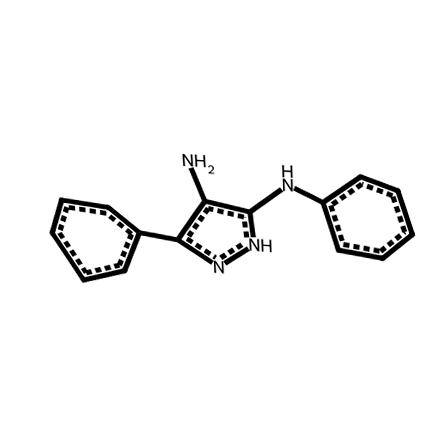 Nc1c(-c2ccccc2)n[nH]c1Nc1ccccc1